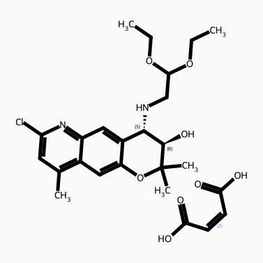 CCOC(CN[C@H]1c2cc3nc(Cl)cc(C)c3cc2OC(C)(C)[C@@H]1O)OCC.O=C(O)/C=C\C(=O)O